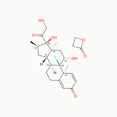 C[C@@H]1C[C@H]2[C@@H]3CCC4=CC(=O)C=C[C@]4(C)[C@@]3(F)[C@@H](O)C[C@]2(C)[C@@]1(O)C(=O)CO.O=C1CCO1